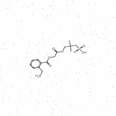 BCc1ccccc1C(=O)OCC(=O)OCC(F)(F)CS(=O)(=O)O